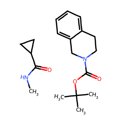 CC(C)(C)OC(=O)N1CCc2ccccc2C1.CNC(=O)C1CC1